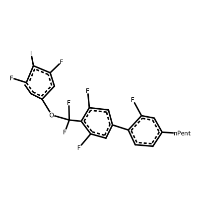 CCCCCc1ccc(-c2cc(F)c(C(F)(F)Oc3cc(F)c(I)c(F)c3)c(F)c2)c(F)c1